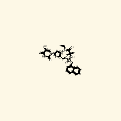 CCOC(=O)C(C)(C)NP(=O)(OC[C@H]1O[C@@H](n2cc(F)c(=O)[nH]c2=O)C[C@H]1O)Oc1cccc2ccccc12